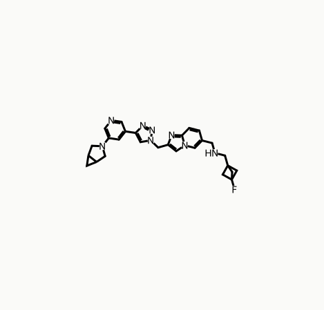 FC12CC(CNCc3ccc4nc(Cn5cc(-c6cncc(N7CC8CC8C7)c6)nn5)cn4c3)(C1)C2